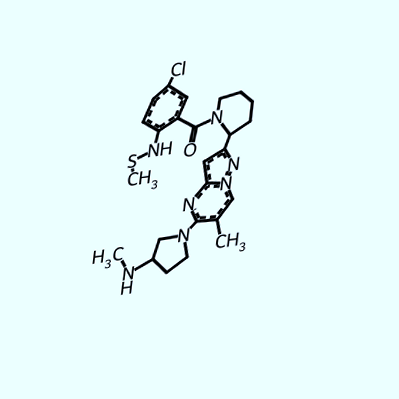 CNC1CCN(c2nc3cc(C4CCCCN4C(=O)c4cc(Cl)ccc4NSC)nn3cc2C)C1